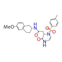 COc1ccc2c(c1)CC[C@@H](NC(=O)CC1C(=O)NC=CN1S(=O)(=O)c1ccc(C)cc1)C2